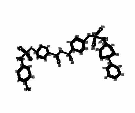 CC(=O)c1ccc(NS(=O)(=O)Cc2ccc(C(=O)OC(=O)c3ccc(CS(=O)(=O)Nc4ccc(-c5ccccc5)cc4)cc3)cc2)cc1